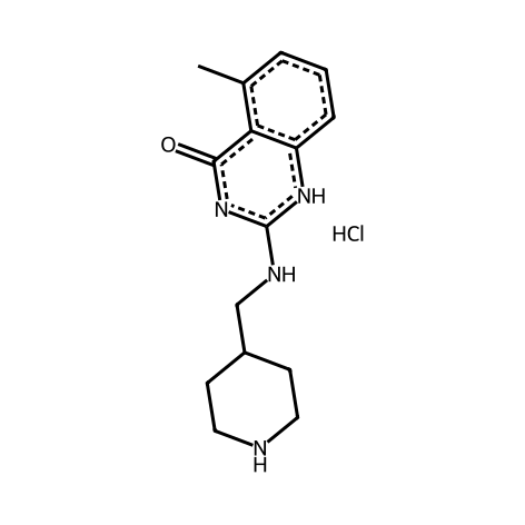 Cc1cccc2[nH]c(NCC3CCNCC3)nc(=O)c12.Cl